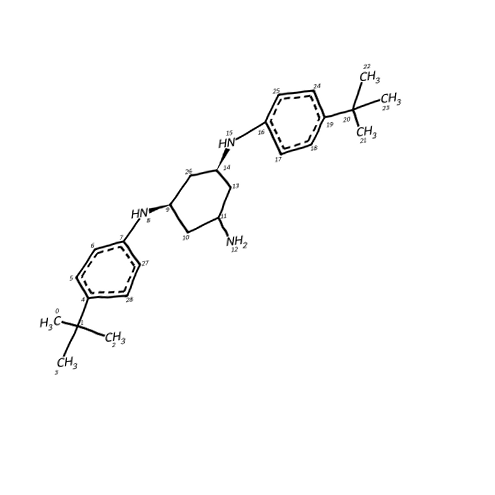 CC(C)(C)c1ccc(N[C@@H]2CC(N)C[C@H](Nc3ccc(C(C)(C)C)cc3)C2)cc1